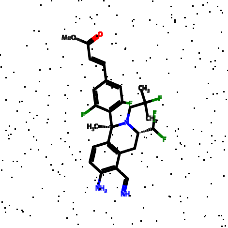 COC(=O)/C=C/c1cc(F)c([C@]2(C)c3ccc(N)c(C=N)c3C[C@@H](C(F)F)N2CC(C)(C)F)c(F)c1